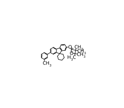 Cc1cccc(-c2ccc3c(c2)C2(CCCCC2)c2cc(OP4OC(C)(C)C4(C)C)ccc2-3)c1